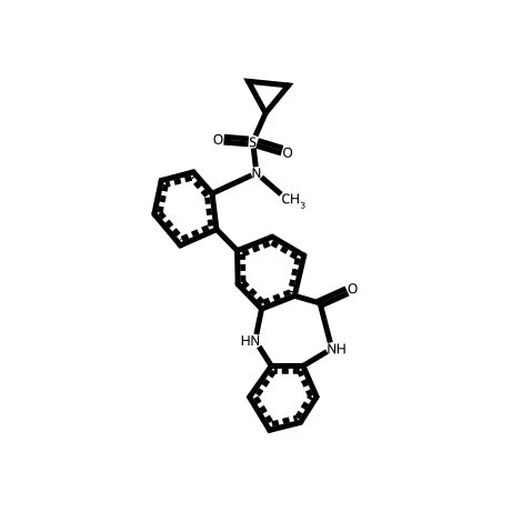 CN(c1ccccc1-c1ccc2c(c1)Nc1ccccc1NC2=O)S(=O)(=O)C1CC1